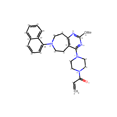 C=CC(=O)N1CCN(c2nc(OC)nc3c2CCN(c2cccc4ccccc24)CC3)CC1